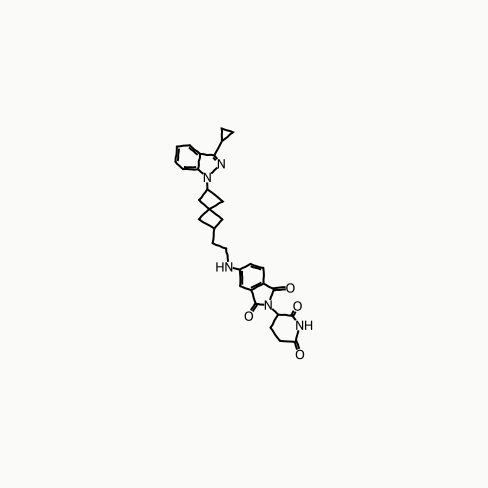 O=C1CCC(N2C(=O)c3ccc(NCCC4CC5(C4)CC(n4nc(C6CC6)c6ccccc64)C5)cc3C2=O)C(=O)N1